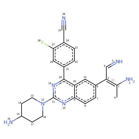 C/C(N)=C(/C=N)c1ccc2nc(N3CCC(N)CC3)nc(-c3ccc(C#N)c(F)c3)c2c1